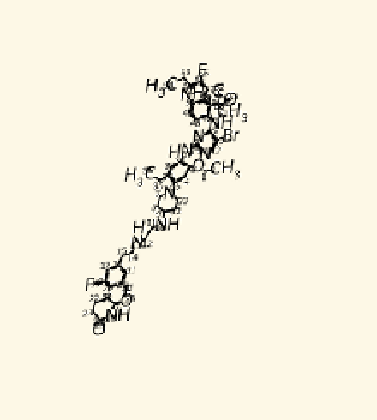 CCOc1cc(N2CCC(NCCNCCc3cc(F)c([C@H]4CCC(=O)NC4=O)c(F)c3)CC2)c(CC)cc1Nc1ncc(Br)c(Nc2ccc3nc(CC)c(F)cc3c2P(C)(C)=O)n1